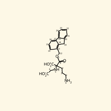 NCCCC(NCC(=O)O)(C(=O)O)C(=O)OCc1cccc2c1Cc1ccccc1-2